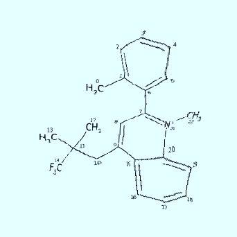 Cc1ccccc1-c1cc(CC(C)(C)C(F)(F)F)c2ccccc2[n+]1C